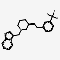 FC(F)(F)c1cccc(C/C=C2/CCCN(Cc3cnc4ccccn34)C2)c1